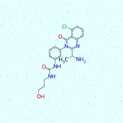 CC(N)c1nc2cccc(Cl)c2c(=O)n1-c1cccc(NC(=O)NCCCO)c1